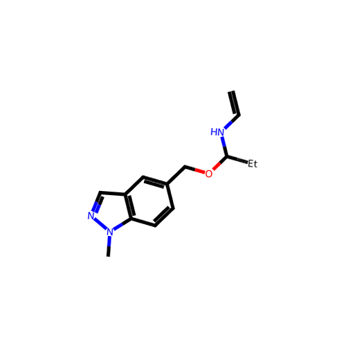 C=CNC(CC)OCc1ccc2c(cnn2C)c1